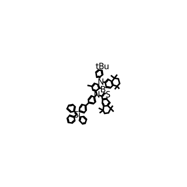 Cc1cc2c3c(c1)N(c1ccc(-c4ccc([Si](c5ccccc5)(c5ccccc5)c5ccccc5)cc4)cc1)c1c(sc4cc5c(cc14)C(C)(C)CCC5(C)C)B3c1cc3c(cc1N2c1ccc(C(C)(C)C)cc1)C(C)(C)CCC3(C)C